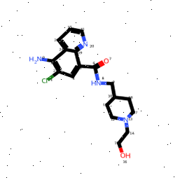 Nc1c(Cl)cc(C(=O)NCC2CCN(CCO)CC2)c2ncccc12